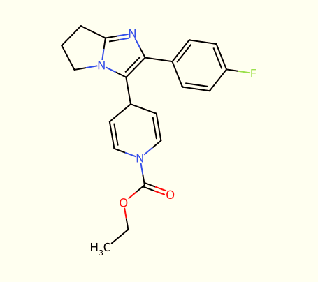 CCOC(=O)N1C=CC(c2c(-c3ccc(F)cc3)nc3n2CCC3)C=C1